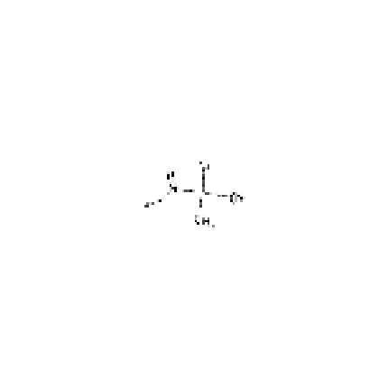 [Li][C](C)(C)NC(C)C